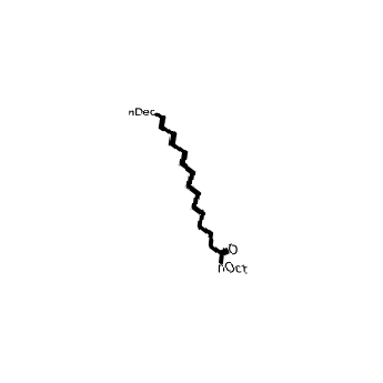 CCCCCCCCCCCCCCCCCCCCCCCCC(=O)CCCCCCCC